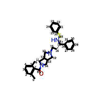 Cc1cccc(C)c1C(=O)N1CC2CN(CC[C@H](NSc3ccccc3)c3ccccc3)CC2C1